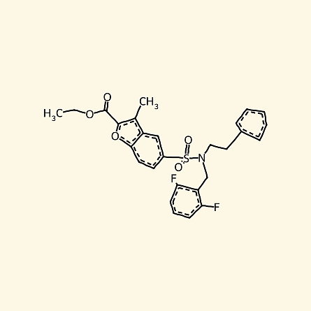 CCOC(=O)c1oc2ccc(S(=O)(=O)N(CCc3ccccc3)Cc3c(F)cccc3F)cc2c1C